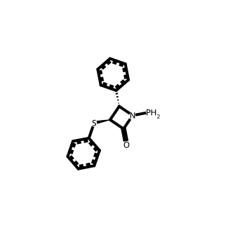 O=C1[C@@H](Sc2ccccc2)[C@H](c2ccccc2)N1P